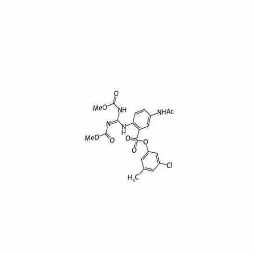 COC(=O)N=C(NC(=O)OC)Nc1ccc(NC(C)=O)cc1S(=O)(=O)Oc1cc(C)cc(Cl)c1